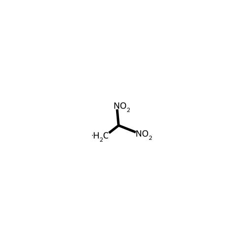 [CH2]C([N+](=O)[O-])[N+](=O)[O-]